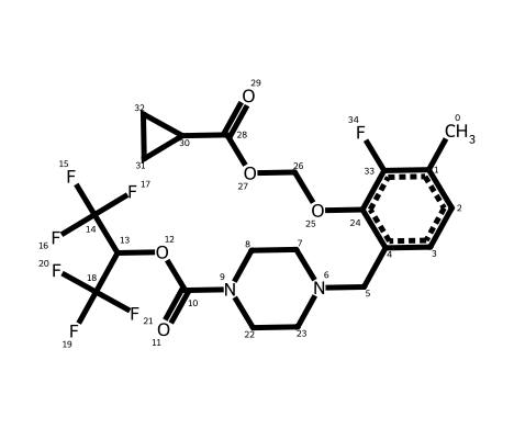 Cc1ccc(CN2CCN(C(=O)OC(C(F)(F)F)C(F)(F)F)CC2)c(OCOC(=O)C2CC2)c1F